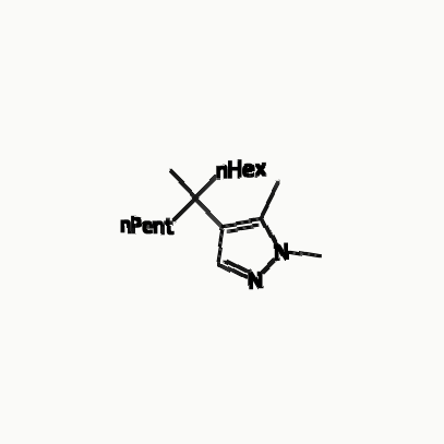 CCCCCCC(C)(CCCCC)c1cnn(C)c1C